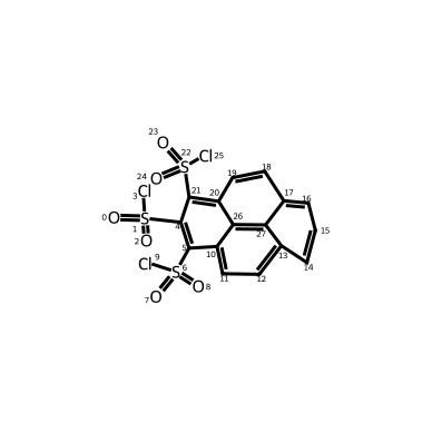 O=S(=O)(Cl)c1c(S(=O)(=O)Cl)c2ccc3cccc4ccc(c1S(=O)(=O)Cl)c2c34